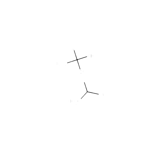 CCC(C(=O)O)C(C)C.CCC(C)(CC)C(=O)O